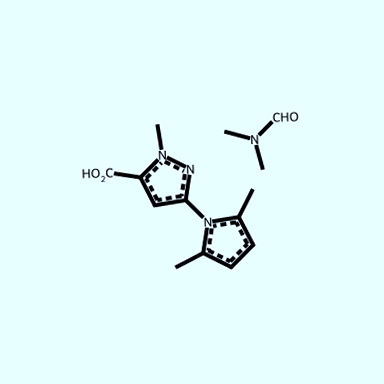 CN(C)C=O.Cc1ccc(C)n1-c1cc(C(=O)O)n(C)n1